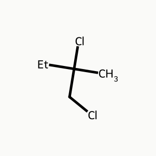 CCC(C)(Cl)CCl